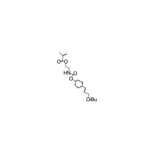 C=C(C)C(=O)OCCNC(=O)Oc1ccc(/C=C/COCC(C)C)cc1